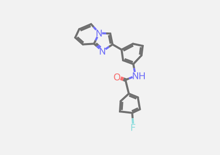 O=C(Nc1cccc(-c2cn3ccccc3n2)c1)c1ccc(F)cc1